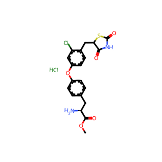 COC(=O)[C@@H](N)Cc1ccc(Oc2ccc(CC3SC(=O)NC3=O)c(Cl)c2)cc1.Cl